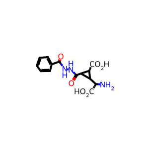 NC(C(=O)O)C1C(C(=O)O)C1C(=O)NNC(=O)c1ccccc1